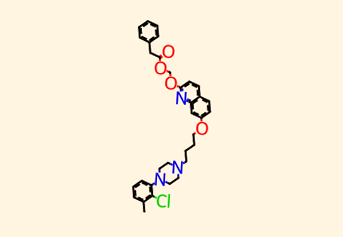 Cc1cccc(N2CCN(CCCCOc3ccc4ccc(OCOC(=O)Cc5ccccc5)nc4c3)CC2)c1Cl